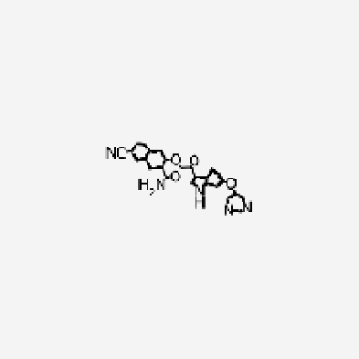 N#Cc1ccc2cc(OCC(=O)c3c[nH]c4cc(Oc5cncnc5)ccc34)c(C(N)=O)cc2c1